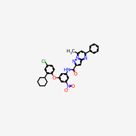 Cc1cc(-c2ccccc2)nc2cc(C(=O)Nc3cc(Oc4ccc(Cl)cc4C4CCCCC4)cc([N+](=O)[O-])c3)nn12